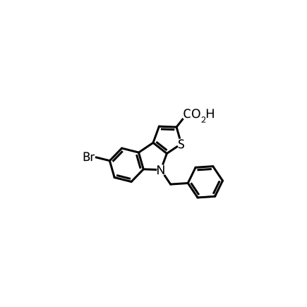 O=C(O)c1cc2c3cc(Br)ccc3n(Cc3ccccc3)c2s1